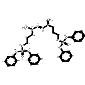 CN(CCCOP(=O)(Oc1ccccc1)Oc1ccccc1)/N=N/N(C)CCCOP(=O)(Oc1ccccc1)Oc1ccccc1